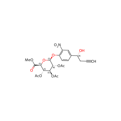 C#CC[C@@H](O)c1ccc(O[C@@H]2O[C@H](C(=O)OC)[C@@H](OC(C)=O)[C@H](OC(C)=O)[C@H]2OC(C)=O)c([N+](=O)[O-])c1